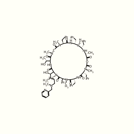 CC(C)C[C@@H]1C(=O)N[C@H](CC(C)C)C(=O)N(C)C(C(C)C)C(=O)N(C)C([C@H](O)[C@H](C)CCN(C)Cc2ccccn2)C(=O)NC([C@@H](C)O)C(=O)N(C)CC(=O)N(C)[C@@H](CC(C)C)C(=O)N[C@H](CC(C)C)N(C)[C@H](CC(C)C)N[C@H](C)C(=O)OC(=O)N1C